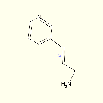 NC/C=C/c1cccnc1